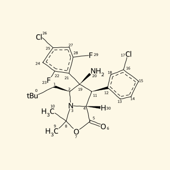 CC(C)(C)C[C@@H]1N2[C@@H](C(=O)OC2(C)C)[C@H](c2cccc(Cl)c2)[C@@]1(N)c1c(F)cc(Cl)cc1F